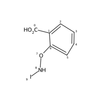 O=C(O)c1ccccc1ONI